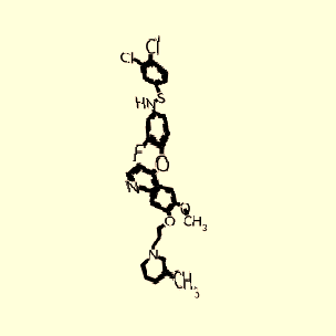 COc1cc2c(Oc3ccc(NSc4ccc(Cl)c(Cl)c4)cc3F)ccnc2cc1OCCCN1CCCC(C)C1